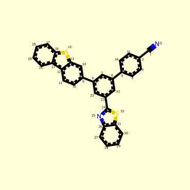 N#Cc1ccc(-c2cc(-c3ccc4c(c3)sc3ccccc34)cc(-c3nc4ccccc4s3)c2)cc1